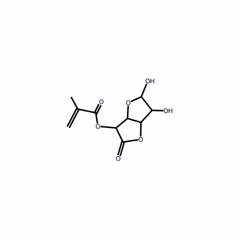 C=C(C)C(=O)OC1C(=O)OC2C(O)C(O)OC12